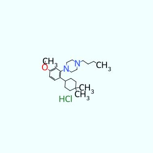 CCCCN1CCN(c2cc(OC)ccc2C2CCC(C)(C)CC2)CC1.Cl